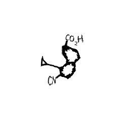 [C-]#[N+]c1ccc2ccc(C(=O)O)cc2c1C1CC1